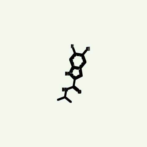 CC(C)NC(=O)c1cc2cc(Cl)c(F)cc2[nH]1